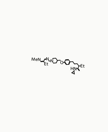 C=C(NC1CC1)C(CC)CCCc1ccc(OCC2CCN(C/N=C\C(=C/NC)CC)CC2)cc1